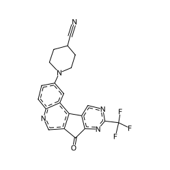 N#CC1CCN(c2ccc3ncc4c(c3c2)-c2cnc(C(F)(F)F)nc2C4=O)CC1